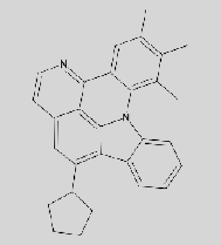 Cc1cc2c3nccc4cc(C5CCCC5)c5c6ccccc6n(c2c(C)c1C)c5c43